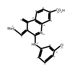 C=c1/c(=C\SC)c(Nc2cccc(Cl)c2)nc2cc(C(=O)O)ccc12